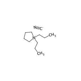 CCC[N+]1(CCC)CCCC1.[C-]#N